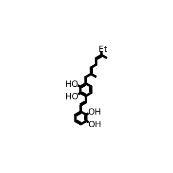 CC/C(C)=C/C/C=C(\C)Cc1ccc(/C=C/c2cccc(O)c2O)c(O)c1O